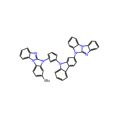 CC(C)(C)c1ccc2c(c1)n(-c1cccc(-n3c4ccccc4c4ccc(-n5c6ccccc6n6c7ccccc7nc56)cc43)c1)c1nc3ccccc3n21